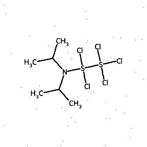 CC(C)N(C(C)C)S(Cl)(Cl)S(Cl)(Cl)Cl